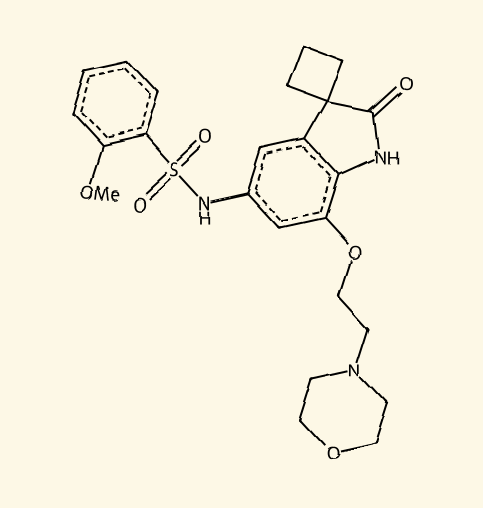 COc1ccccc1S(=O)(=O)Nc1cc(OCCN2CCOCC2)c2c(c1)C1(CCC1)C(=O)N2